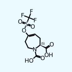 O=C(O)[C@@H]1CC=C(OS(=O)(=O)C(F)(F)F)CCN1C(=O)O